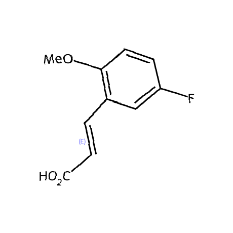 COc1ccc(F)cc1/C=C/C(=O)O